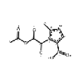 CC(=O)OC(Cl)C(Cl)n1c([N+](=O)[O-])cnc1C